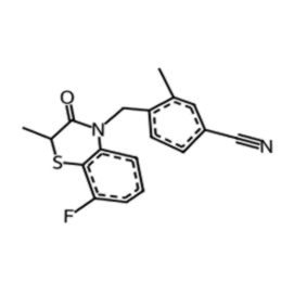 Cc1cc(C#N)ccc1CN1C(=O)C(C)Sc2c(F)cccc21